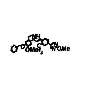 COc1ncc(-c2ccc(/C=C/C3NCCc4cc(OCc5ccccc5)c(OC)cc43)c(C)c2)cn1